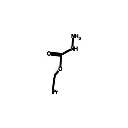 CC(C)COC(=O)NN